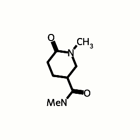 CNC(=O)C1CCC(=O)N(C)C1